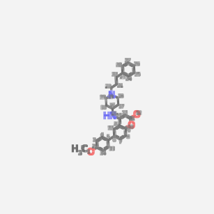 COc1ccc(-c2ccc3oc(=O)cc(NC4CCN(CC=Cc5ccccc5)CC4)c3c2)cc1